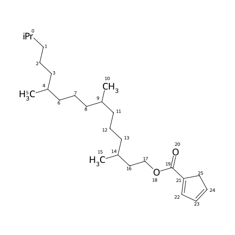 CC(C)CCCC(C)CCCC(C)CCCC(C)CCOC(=O)C1=CC=CC1